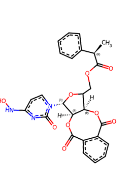 C[C@@H](C(=O)OCC1O[C@@H](n2ccc(NO)nc2=O)[C@@H]2OC(=O)c3ccccc3C(=O)O[C@H]12)c1ccccc1